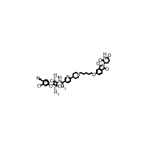 CC1(C)[C@H](NC(=O)c2ccc(C3CCN(CCCCCOc4ccc5c(c4)C(=O)N(C4CCC(=O)NC4=O)C5=O)CC3)nc2)C(C)(C)[C@H]1Oc1ccc(C#N)c(Cl)c1